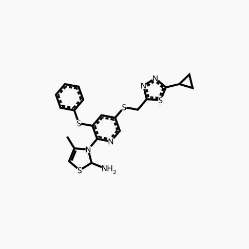 CC1=CSC(N)N1c1ncc(SCc2nnc(C3CC3)s2)cc1Sc1ccccc1